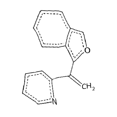 C=C(c1ccccn1)c1occ2ccccc12